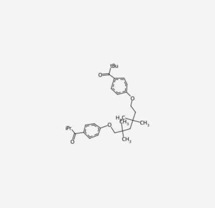 CC(C)C(=O)c1ccc(OCC(C)(C)CC(C)(C)CCOc2ccc(C(=O)C(C)(C)C)cc2)cc1